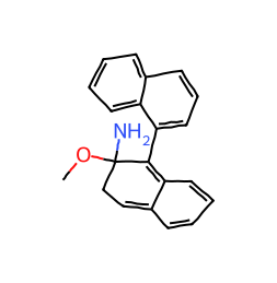 COC1(N)CC=c2ccccc2=C1c1cccc2ccccc12